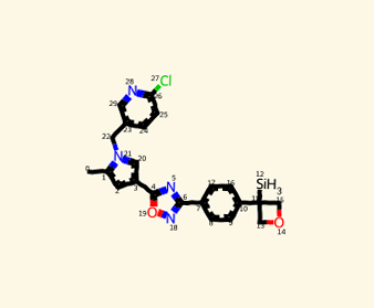 Cc1cc(-c2nc(-c3ccc(C4([SiH3])COC4)cc3)no2)cn1Cc1ccc(Cl)nc1